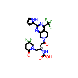 O=C(O)N[C@@H](CC(=O)N1CCc2c(nc(-c3ccc[nH]3)nc2C(F)(F)F)C1)CN1CC(F)(F)CCC1=O